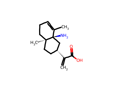 C=C(C(=O)O)[C@@H]1CC[C@@]2(C)CCC=C(C)[C@]2(N)C1